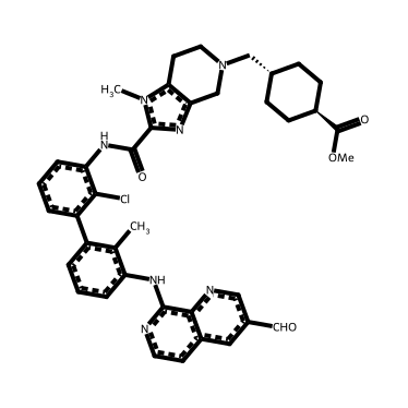 COC(=O)[C@H]1CC[C@H](CN2CCc3c(nc(C(=O)Nc4cccc(-c5cccc(Nc6nccc7cc(C=O)cnc67)c5C)c4Cl)n3C)C2)CC1